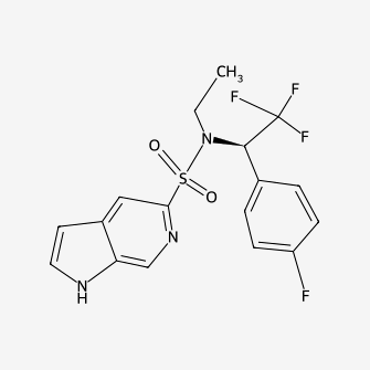 CCN([C@H](c1ccc(F)cc1)C(F)(F)F)S(=O)(=O)c1cc2cc[nH]c2cn1